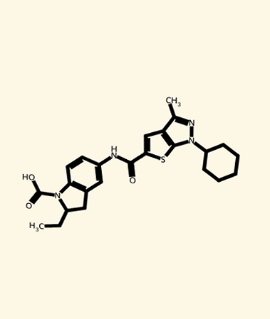 CCC1Cc2cc(NC(=O)c3cc4c(C)nn(C5CCCCC5)c4s3)ccc2N1C(=O)O